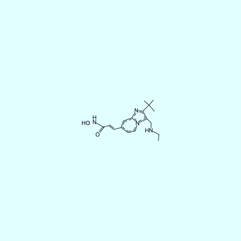 CCNCc1c(C(C)(C)C)nc2cc(C=CC(=O)NO)ccn12